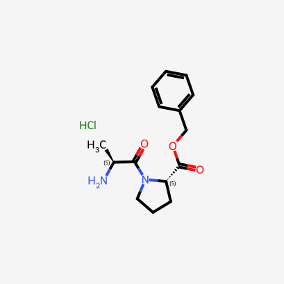 C[C@H](N)C(=O)N1CCC[C@H]1C(=O)OCc1ccccc1.Cl